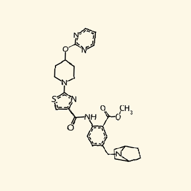 COC(=O)c1cc(CN2C3CCC2CC3)ccc1NC(=O)c1csc(N2CCC(Oc3ncccn3)CC2)n1